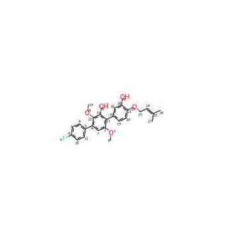 COc1cc(-c2ccc(F)cc2)c(OC)c(O)c1-c1ccc(OCC=C(C)C)c(O)c1